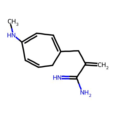 C=C(CC1=CC=C(NC)C=CC1)C(=N)N